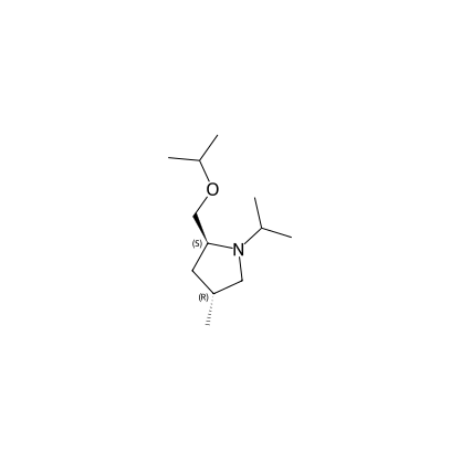 CC(C)OC[C@@H]1C[C@@H](C)CN1C(C)C